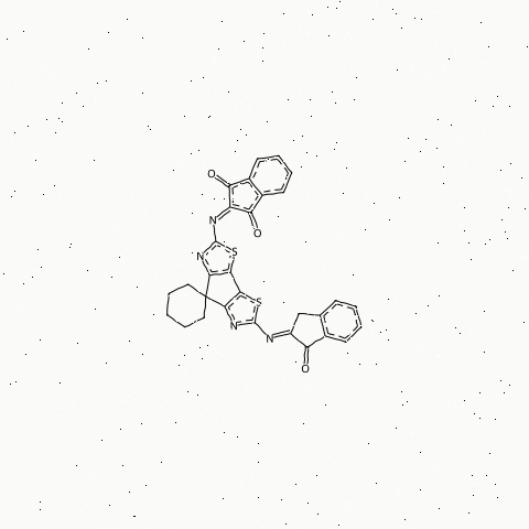 O=C1/C(=N/c2nc3c(s2)-c2sc(N=c4c(=O)c5ccccc5c4=O)nc2C32CCCCC2)Cc2ccccc21